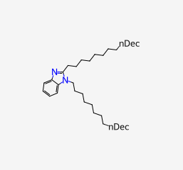 CCCCCCCCCCCCCCCCCCc1nc2ccccc2n1CCCCCCCCCCCCCCCCCC